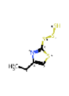 CCc1csc(SSS)n1